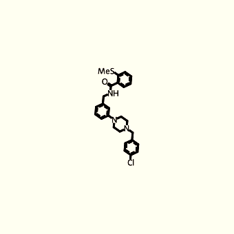 CSc1ccccc1C(=O)NCc1cccc(N2CCN(Cc3ccc(Cl)cc3)CC2)c1